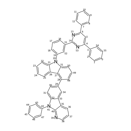 c1ccc(-c2cc(-c3ccccc3)nc(-c3cccc(-n4c5ccccc5c5c(-c6ccc7c(c6)c6cccnc6n7-c6ccccc6)cccc54)c3)n2)cc1